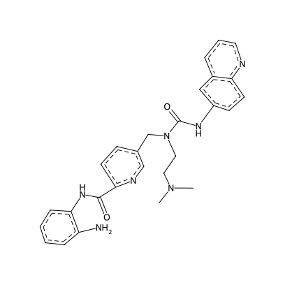 CN(C)CCN(Cc1ccc(C(=O)Nc2ccccc2N)nc1)C(=O)Nc1ccc2ncccc2c1